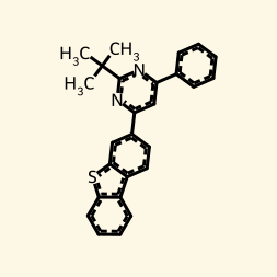 CC(C)(C)c1nc(-c2ccccc2)cc(-c2ccc3c(c2)sc2ccccc23)n1